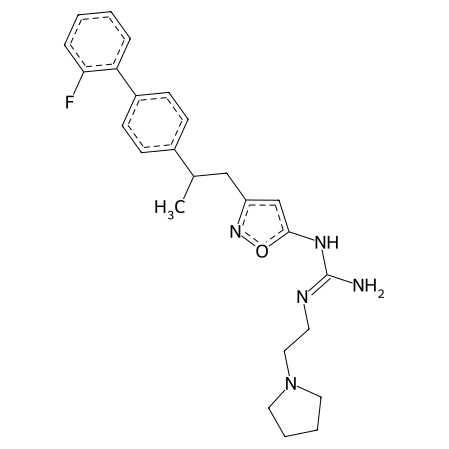 CC(Cc1cc(NC(N)=NCCN2CCCC2)on1)c1ccc(-c2ccccc2F)cc1